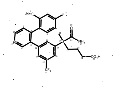 COc1cc(F)ccc1-c1ccncc1-c1cc(C(F)(F)F)cc(S(C)(CCCC(=O)O)C(N)=O)c1